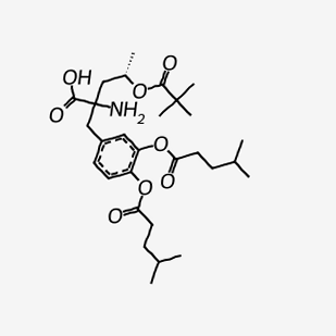 CC(C)CCC(=O)Oc1ccc(CC(N)(C[C@H](C)OC(=O)C(C)(C)C)C(=O)O)cc1OC(=O)CCC(C)C